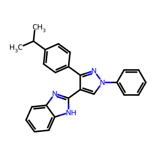 CC(C)c1ccc(-c2nn(-c3ccccc3)cc2-c2nc3ccccc3[nH]2)cc1